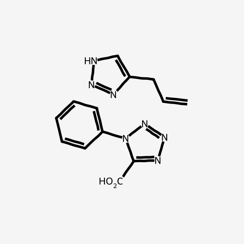 C=CCc1c[nH]nn1.O=C(O)c1nnnn1-c1ccccc1